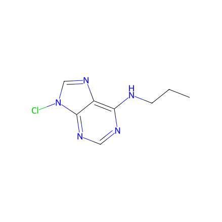 CCCNc1ncnc2c1ncn2Cl